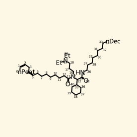 CCCCC/C=C\C/C=C\CCCCCCCC(=O)N(CCCN(CC)CC)C(C(=O)NCCCCCCCCCCCCCCCCCC)C1CCCCC1